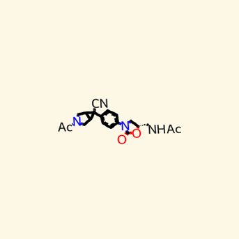 CC(=O)NC[C@H]1CN(c2ccc(C3(C#N)C4CN(C(C)=O)CC43)cc2)C(=O)O1